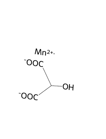 O=C([O-])C(O)C(=O)[O-].[Mn+2]